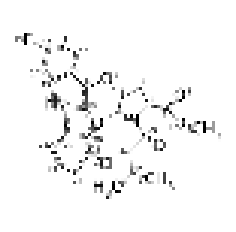 COC(=O)[C@@H]1C[C@@H](Oc2c3ccc(F)cc3nc3c2oc2c(Cl)cccc23)CN1C(=O)CC(C)C